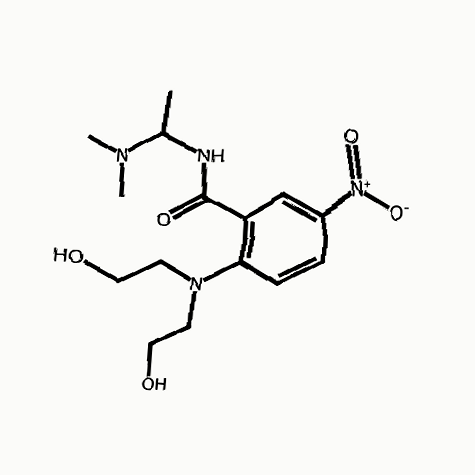 CC(NC(=O)c1cc([N+](=O)[O-])ccc1N(CCO)CCO)N(C)C